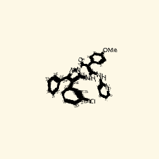 COc1ccc(-c2c(Nc3ccccn3)[nH]c3c(-c4cccc(Cl)c4)c(-c4ccccc4)nn3c2=O)cc1